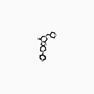 O=C1CN(CC2CCOCC2)CC2OC3(CCN(c4ccncc4)CC3)CN12